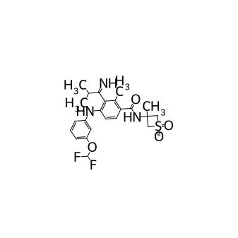 Cc1c(C(=O)NC2(C)CS(=O)(=O)C2)ccc(Nc2cccc(OC(F)F)c2)c1C(=N)C(C)C